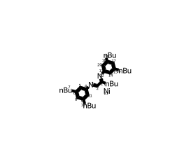 CCCCC(C=Nc1cc(CCCC)cc(CCCC)c1)=Nc1cc(CCCC)cc(CCCC)c1.[Ni]